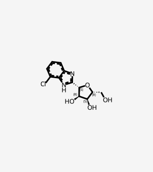 OC[C@H]1O[C@@H](c2nc3cccc(Cl)c3[nH]2)[C@H](O)[C@@H]1O